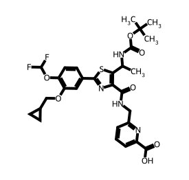 CC(NC(=O)OC(C)(C)C)c1sc(-c2ccc(OC(F)F)c(OCC3CC3)c2)nc1C(=O)NCc1cccc(C(=O)O)n1